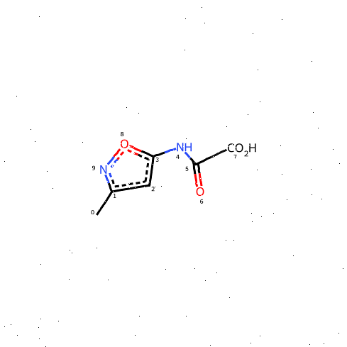 Cc1cc(NC(=O)C(=O)O)on1